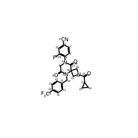 N#Cc1ccc(N2CC(=O)N(Cc3ccc(C(F)(F)F)cc3)C3(CN(C(=O)C4CC4)C3)C2=O)c(F)c1